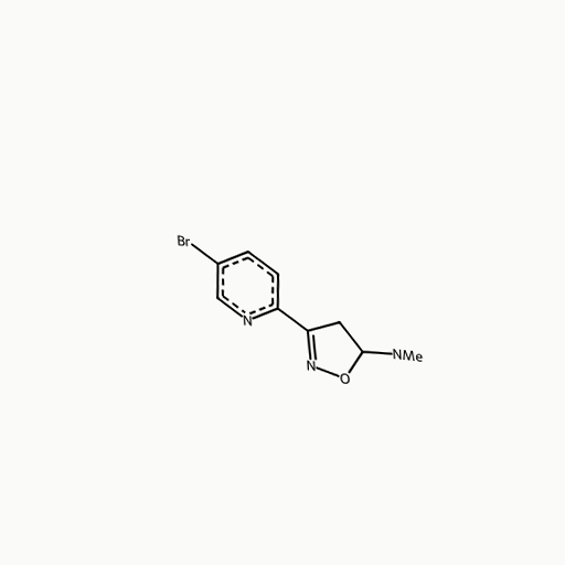 CNC1CC(c2ccc(Br)cn2)=NO1